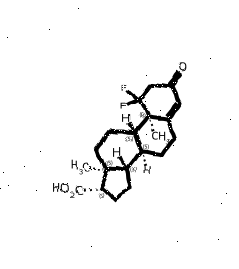 C[C@]12CC[C@H]3[C@@H](CCC4=CC(=O)CC(F)(F)[C@@]43C)[C@@H]1CC[C@@H]2C(=O)O